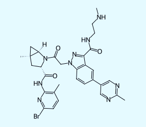 CNCCNC(=O)c1nn(CC(=O)N2[C@H](C(=O)Nc3nc(Br)ccc3C)C[C@@]3(C)C[C@@H]23)c2ccc(-c3cnc(C)nc3)cc12